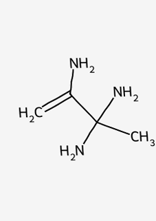 C=C(N)C(C)(N)N